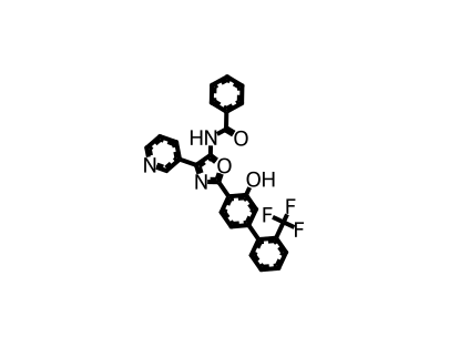 O=C(Nc1oc(-c2ccc(-c3ccccc3C(F)(F)F)cc2O)nc1-c1cccnc1)c1ccccc1